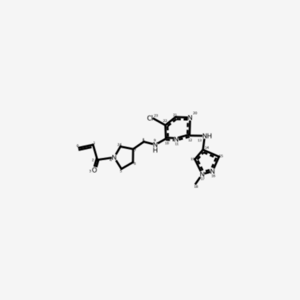 C=CC(=O)N1CCC(CNc2nc(Nc3cnn(C)c3)ncc2Cl)C1